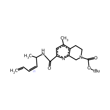 C=C/C=C\C(C)NC(=O)c1cc(C)c2c(n1)CN(C(=O)OC(C)(C)C)CC2